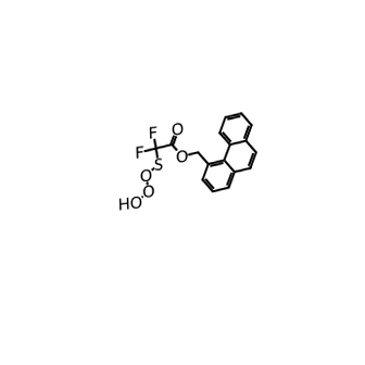 O=C(OCc1cccc2ccc3ccccc3c12)C(F)(F)SOOO